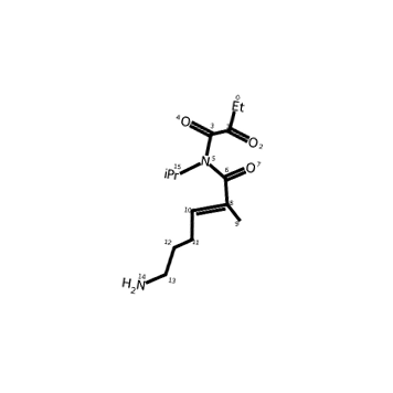 CCC(=O)C(=O)N(C(=O)C(C)=CCCCN)C(C)C